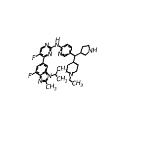 CCN1CCC(C(c2ccc(Nc3ncc(F)c(-c4cc(F)c5nc(C)n(C(C)C)c5c4)n3)nc2)C2CCNC2)CC1